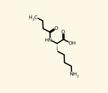 CCCC(=O)N[C@@H](CCCCN)C(=O)O